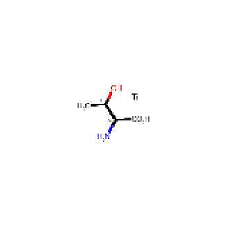 C[C@@H](O)[C@H](N)C(=O)O.[Ti]